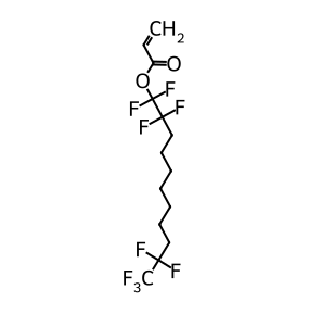 C=CC(=O)OC(F)(F)C(F)(F)CCCCCCCC(F)(F)C(F)(F)F